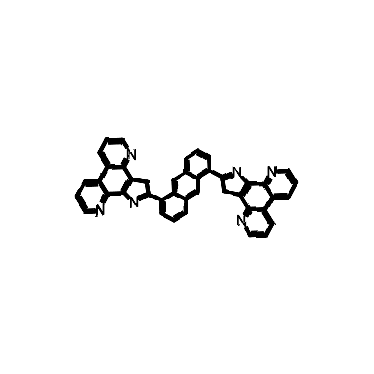 c1cc(C2=Nc3c(c4ncccc4c4cccnc34)C2)c2cc3cccc(C4=Nc5c(c6ncccc6c6cccnc56)C4)c3cc2c1